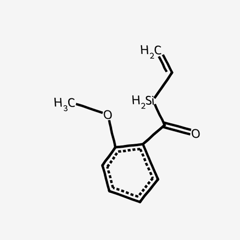 C=C[SiH2]C(=O)c1ccccc1OC